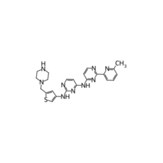 Cc1cccc(-c2nccc(Nc3ccnc(Nc4csc(CN5CCNCC5)c4)n3)n2)n1